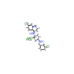 Cl.Cl.Clc1cccc(CN[C@H]2CC[C@H](Nc3ccnc4cc(Cl)ccc34)CC2)c1